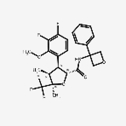 COc1c([C@H]2[C@H](C(=O)NC3(c4ccccc4)COC3)O[C@@](C)(C(F)(F)F)[C@H]2C)ccc(F)c1F